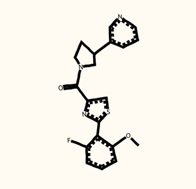 COc1cccc(F)c1-c1nc(C(=O)N2CCC(c3cccnc3)C2)cs1